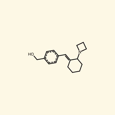 OCc1ccc(C=C2CCCCC2N2CCC2)cc1